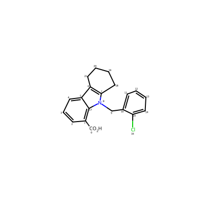 O=C(O)c1cccc2c3c(n(Cc4ccccc4Cl)c12)CCCC3